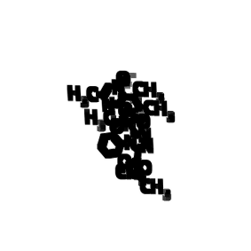 COc1cccc(OC)c1-n1c(NS(=O)(=O)[C@H](C)[C@@H](C)c2cnc(C)c[n+]2[O-])nnc1-c1ccc(C)o1